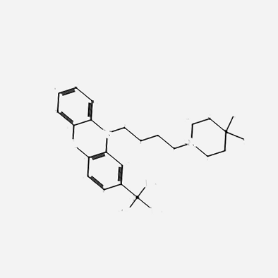 CC1(C)CCN(CCCCN2c3ccccc3Sc3ccc(C(F)(F)F)cc32)CC1